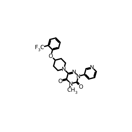 Cn1c(=O)c(N2CCC(Oc3ccccc3C(F)(F)F)CC2)nn(-c2cccnc2)c1=O